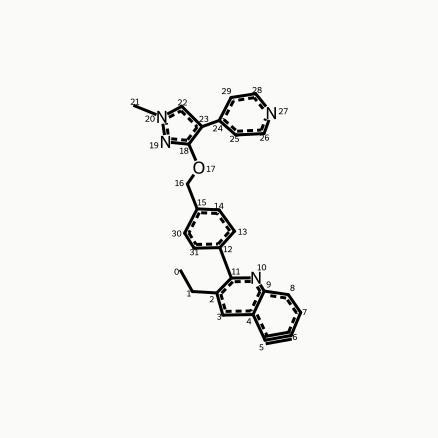 CCc1cc2c#cccc2nc1-c1ccc(COc2nn(C)cc2-c2ccncc2)cc1